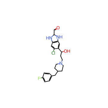 O=CC1Nc2cc(Cl)c(C(O)CCN3CCC(Cc4ccc(F)cc4)CC3)cc2N1